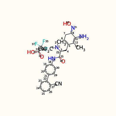 CCOC(=O)N(C)[C@@H](CC1=CCC(=NO)C(N)=C1C)C(=O)Nc1ccc(-c2ccccc2C#N)cc1.O=C(O)C(F)(F)F